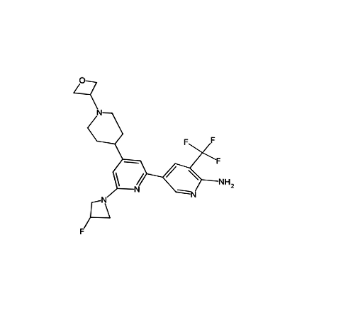 Nc1ncc(-c2cc(C3CCN(C4COC4)CC3)cc(N3CC(F)C3)n2)cc1C(F)(F)F